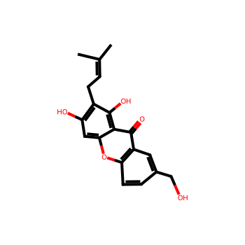 CC(C)=CCc1c(O)cc2oc3ccc(CO)cc3c(=O)c2c1O